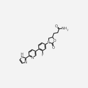 NC(=O)CCC1CN(c2ccc(-c3ccc(-c4ncc[nH]4)nc3)c(F)c2)C(=O)O1